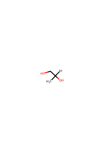 C[CH]C(C)(O)CO